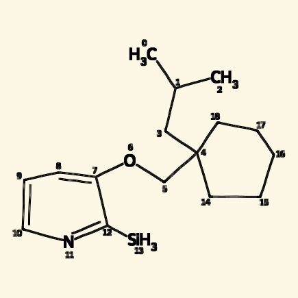 CC(C)CC1(COc2cccnc2[SiH3])CCCCC1